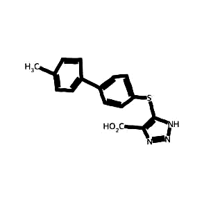 Cc1ccc(-c2ccc(Sc3[nH]nnc3C(=O)O)cc2)cc1